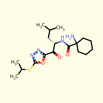 CC(C)C[C@H](NC(=O)C1(N)CCCCC1)C(=O)c1nnc(SC(C)C)o1